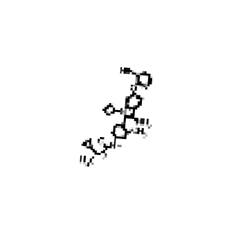 Cc1cc(NC(=O)O[C@H](C)C2CC2)ccc1-c1c(N)c2ccc(Oc3ncccc3C#N)cc2n1C1CCC1